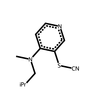 CC(C)CN(C)c1ccncc1SC#N